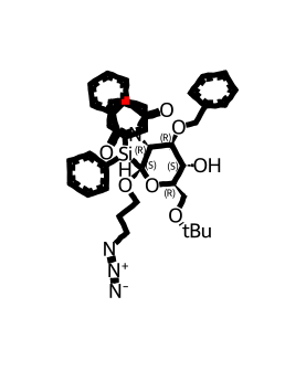 CC(C)(C)OC[C@H]1O[C@](OCCCN=[N+]=[N-])([SiH](c2ccccc2)c2ccccc2)[C@H](N2C(=O)c3ccccc3C2=O)[C@@H](OCc2ccccc2)[C@@H]1O